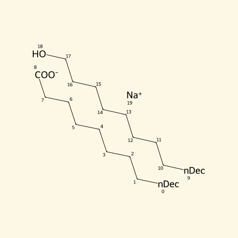 CCCCCCCCCCCCCCCCCC(=O)[O-].CCCCCCCCCCCCCCCCCCO.[Na+]